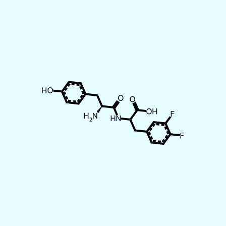 N[C@@H](Cc1ccc(O)cc1)C(=O)NC(Cc1ccc(F)c(F)c1)C(=O)O